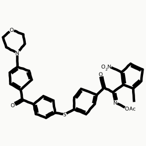 CC(=O)O/N=C(/C(=O)c1ccc(Sc2ccc(C(=O)c3ccc(N4CCOCC4)cc3)cc2)cc1)c1c(C)cccc1[N+](=O)[O-]